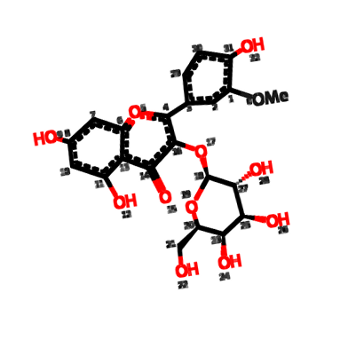 COc1cc(-c2oc3cc(O)cc(O)c3c(=O)c2O[C@@H]2O[C@H](CO)[C@H](O)[C@H](O)[C@H]2O)ccc1O